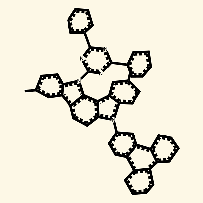 Cc1ccc2c(c1)c1c(ccc3c4cc(C)ccc4n(-c4nc(-c5ccccc5)nc(-c5ccccc5)n4)c31)n2-c1ccc2c3ccccc3c3ccccc3c2c1